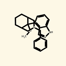 COC1(c2cccc3[nH]ncc23)C2CCCC1CN(Cc1ccccc1)C2